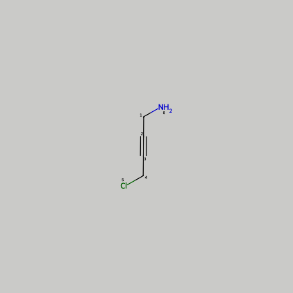 NCC#CCCl